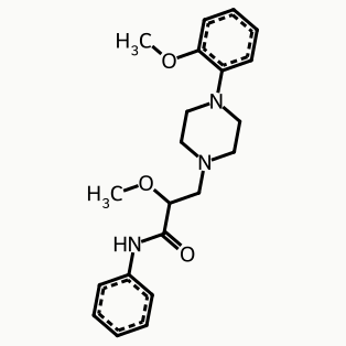 COc1ccccc1N1CCN(CC(OC)C(=O)Nc2ccccc2)CC1